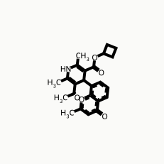 CC(=O)C1=C(C)NC(C)=C(C(=O)OC2CCC2)C1c1cccc2c(=O)cc(C)oc12